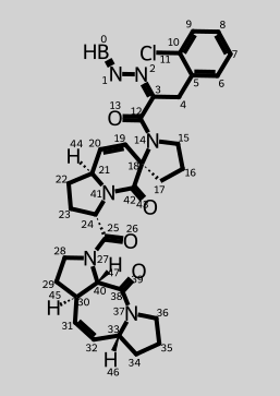 B=N/N=C(/Cc1ccccc1Cl)C(=O)N1CCC[C@]12C=C[C@@H]1CC[C@@H](C(=O)N3CC[C@@H]4C=C[C@H]5CCCN5C(=O)[C@H]43)N1C2=O